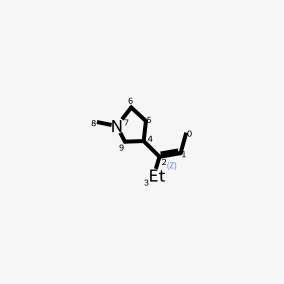 C/C=C(/CC)C1CCN(C)C1